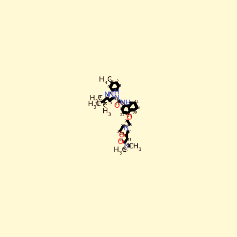 Cc1cccc(-n2nc(C(C)(C)C)cc2NC(=O)Nc2ccc(OCCN3CCOC(CC(=O)N(C)C)C3)c3ccccc23)c1